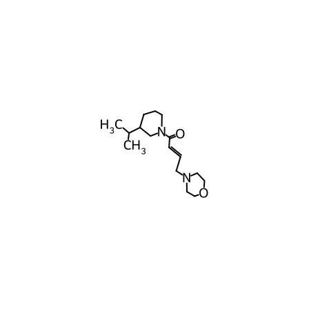 CC(C)C1CCCN(C(=O)/C=C/CN2CCOCC2)C1